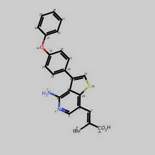 CC(C)(C)/C(=C\c1cnc(N)c2c(-c3ccc(Oc4ccccc4)cc3)csc12)C(=O)O